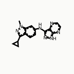 Cn1nc(C2CC2)c2ccc(Nc3n[nH]c4nccnc34)cc21